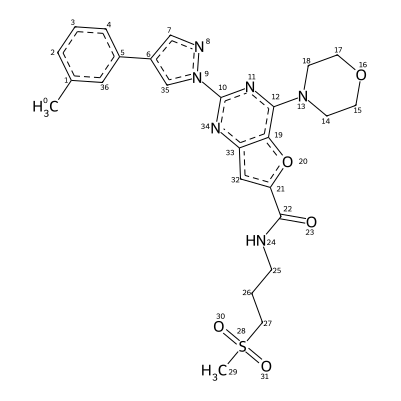 Cc1cccc(-c2cnn(-c3nc(N4CCOCC4)c4oc(C(=O)NCCCS(C)(=O)=O)cc4n3)c2)c1